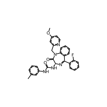 COc1ccnc(CN2C(=O)[C@H](NC(=O)Nc3cccc(C)c3)N=C(c3ccccc3F)c3ccccc32)c1